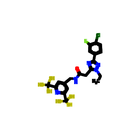 CCn1nc(-c2ccc(Cl)c(F)c2)nc1CC(=O)NCc1cc(C(S)(S)S)nc(C(S)(S)S)c1